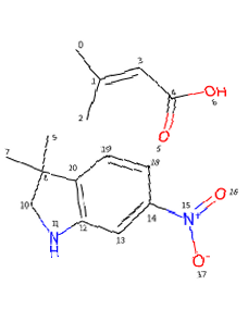 CC(C)=CC(=O)O.CC1(C)CNc2cc([N+](=O)[O-])ccc21